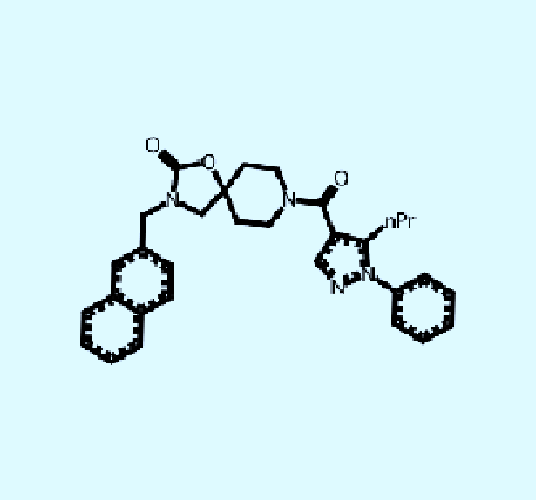 CCCc1c(C(=O)N2CCC3(CC2)CN(Cc2ccc4ccccc4c2)C(=O)O3)cnn1-c1ccccc1